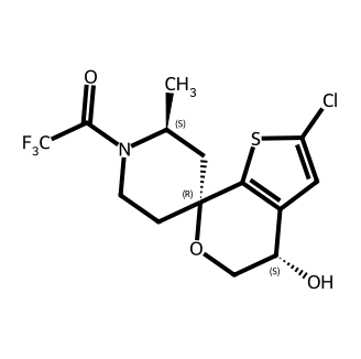 C[C@H]1C[C@@]2(CCN1C(=O)C(F)(F)F)OC[C@@H](O)c1cc(Cl)sc12